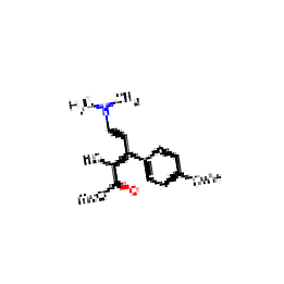 COC(=O)C(C#N)=C(C=CN(C)C)c1ccc(OC)cc1